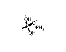 CP(=O)(O)O.P